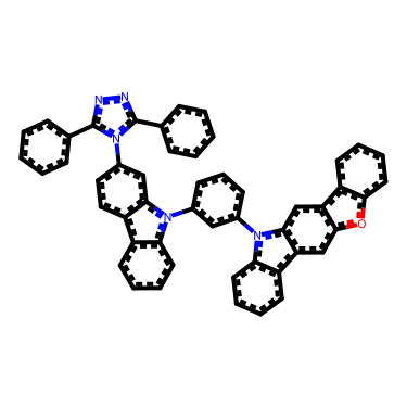 c1ccc(-c2nnc(-c3ccccc3)n2-c2ccc3c4ccccc4n(-c4cccc(-n5c6ccccc6c6cc7oc8ccccc8c7cc65)c4)c3c2)cc1